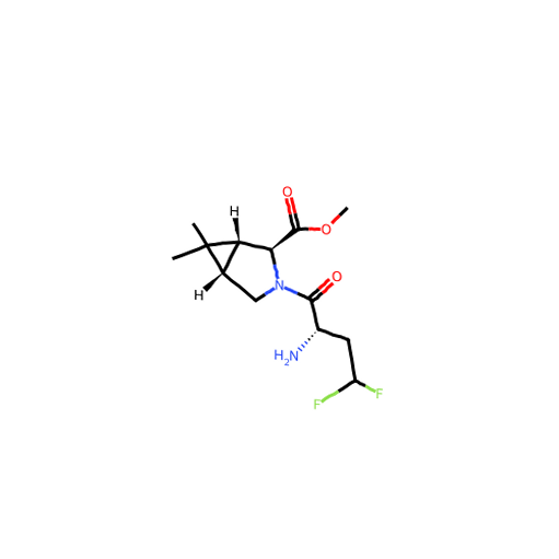 COC(=O)[C@@H]1[C@@H]2[C@H](CN1C(=O)[C@@H](N)CC(F)F)C2(C)C